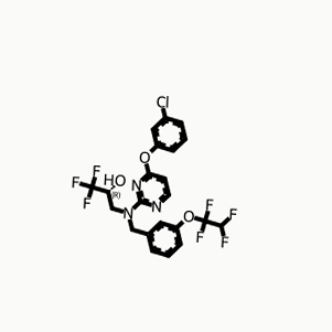 O[C@H](CN(Cc1cccc(OC(F)(F)C(F)F)c1)c1nccc(Oc2cccc(Cl)c2)n1)C(F)(F)F